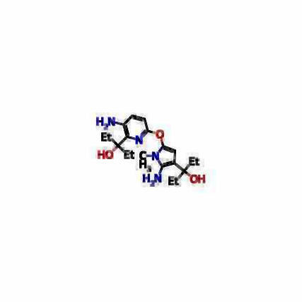 CCC(O)(CC)c1cc(Oc2ccc(N)c(C(O)(CC)CC)n2)n(C)c1N